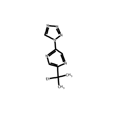 CCC(C)(C)c1cnc(-n2cnnn2)cn1